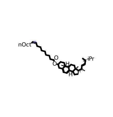 CCCCCCCC/C=C\CCCCCCCC(=O)OC1CC[C@@]2(C)C(=CC=C3[C@@H]4CC[C@H]([C@H](C)C=C[C@H](C)C(C)C)[C@@]4(C)CC[C@@H]32)C1